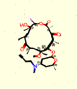 C#CCCN(C)[C@@H]1C[C@H](O[C@@H]2[C@@H](C)C(=O)[C@@H](C)C(=O)O[C@H](I)[C@@](C)(O)/C=C(\C)C(=O)[C@H](C)C[C@@]2(C)OC)O[C@H](C)C1